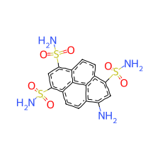 Nc1cc(S(N)(=O)=O)c2ccc3c(S(N)(=O)=O)cc(S(N)(=O)=O)c4ccc1c2c43